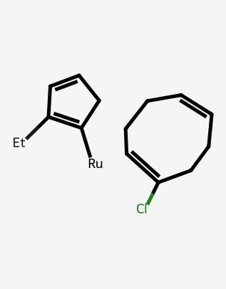 CCC1=[C]([Ru])CC=C1.Cl/C1=C/CC/C=C\CC1